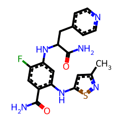 Cc1cc(Nc2cc(NC(Cc3ccncc3)C(N)=O)c(F)cc2C(N)=O)sn1